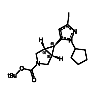 CC(C)(C)OC(=O)N1C[C@@H]2[C@H](C1)[C@H]2c1cc(I)nn1C1CCCC1